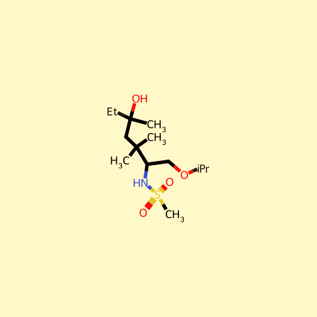 CCC(C)(O)CC(C)(C)C(COC(C)C)NS(C)(=O)=O